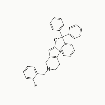 Fc1ccccc1CN1CCc2sc(OC(c3ccccc3)(c3ccccc3)c3ccccc3)cc2C1